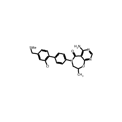 CSCc1ccc(-c2ccc(N3CC(C)Oc4ncnc(N)c4C3=O)cc2)c(Cl)c1